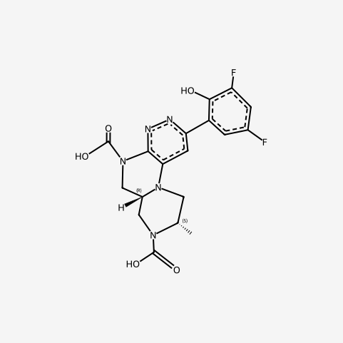 C[C@H]1CN2c3cc(-c4cc(F)cc(F)c4O)nnc3N(C(=O)O)C[C@H]2CN1C(=O)O